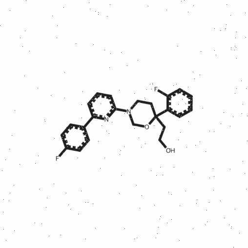 OCCC1(c2ccccc2F)CCN(c2cccc(-c3ccc(F)cc3)n2)CO1